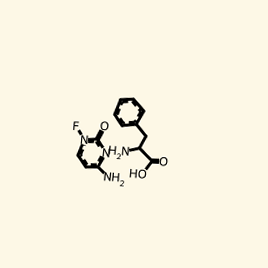 NC(Cc1ccccc1)C(=O)O.Nc1ccn(F)c(=O)n1